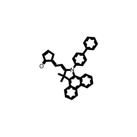 CC1(C)/C(=C\C=C2/CC=CC2=O)N(c2ccc(-c3ccccc3)cc2)c2c1c1ccccc1c1ccccc21